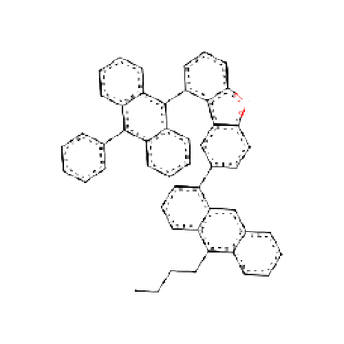 CCCCc1c2ccccc2cc2c(-c3ccc4oc5cccc(-c6c7ccccc7c(-c7ccccc7)c7ccccc67)c5c4c3)cccc12